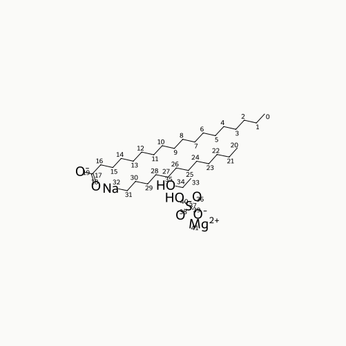 CCCCCCCCCCCCCCCCCC(=O)[O-].CCCCCCCCCCC[CH2][Na].CCO.O=S(=O)([O-])O.[Mg+2]